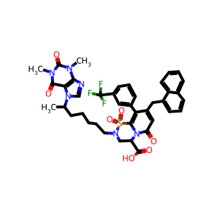 CC(CCCCCN1CC(C(=O)O)n2c(c(-c3cccc(C(F)(F)F)c3)c(Cc3cccc4ccccc34)cc2=O)S1(=O)=O)n1cnc2c1c(=O)n(C)c(=O)n2C